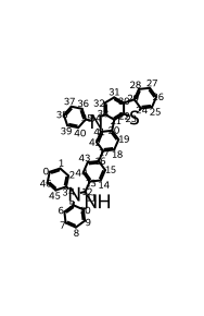 c1ccc(N2c3ccccc3NC2c2ccc(-c3ccc4c5c6sc7ccccc7c6ccc5n(-c5ccccc5)c4c3)cc2)cc1